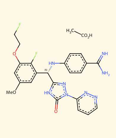 CC(=O)O.COc1cc(OCCF)c(F)c([C@H](Nc2ccc(C(=N)N)cc2)c2nn(-c3cccnn3)c(=O)[nH]2)c1